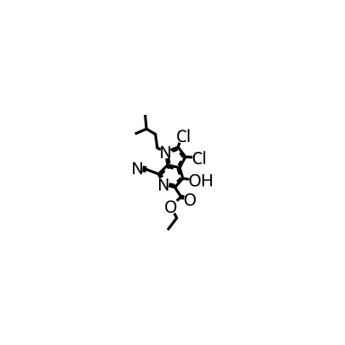 CCOC(=O)c1nc(C#N)c2c(c1O)c(Cl)c(Cl)n2CCC(C)C